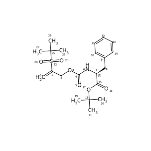 C=C(COC(=O)N[C@@H](Cc1ccccc1)C(=O)OC(C)(C)C)S(=O)(=O)C(C)(C)C